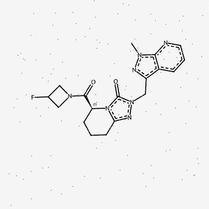 Cn1nc(Cn2nc3n(c2=O)[C@H](C(=O)N2CC(F)C2)CCC3)c2cccnc21